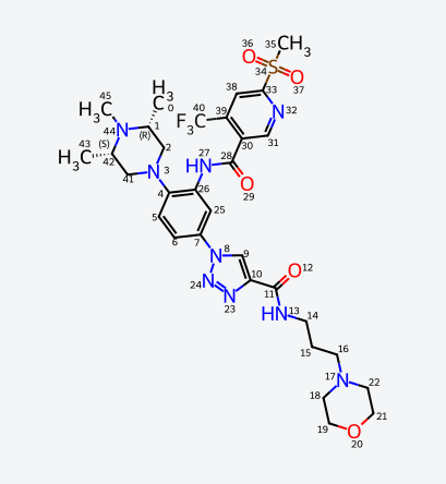 C[C@@H]1CN(c2ccc(-n3cc(C(=O)NCCCN4CCOCC4)nn3)cc2NC(=O)c2cnc(S(C)(=O)=O)cc2C(F)(F)F)C[C@H](C)N1C